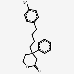 N#Cc1ccc(CCCCC2(c3ccccc3)CCOC(=O)C2)cc1